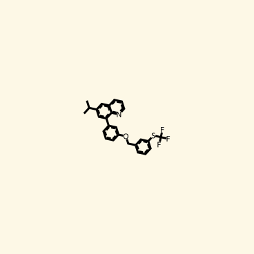 CC(C)c1cc(-c2cccc(OCc3cccc(SC(F)(F)F)c3)c2)c2ncccc2c1